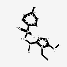 CCn1c(OC)nnc1[C@@H](C)NS(=O)(=O)c1ccc(C)cc1